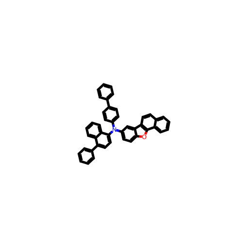 c1ccc(-c2ccc(N(c3ccc4oc5c6ccccc6ccc5c4c3)c3ccc(-c4ccccc4)c4ccccc34)cc2)cc1